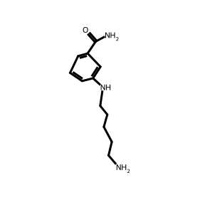 NCCCCCNc1cccc(C(N)=O)c1